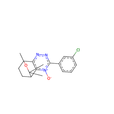 CC12CCC(c3c1nnc(-c1cccc(Cl)c1)[n+]3[O-])C(C)(C)O2